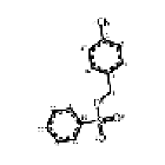 N#Cc1ccc(COS(=O)(=O)c2ccccc2)cc1